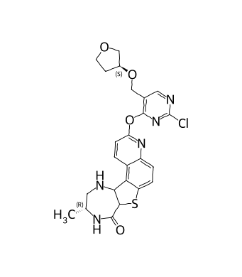 C[C@@H]1CNC2c3c(ccc4nc(Oc5nc(Cl)ncc5CO[C@H]5CCOC5)ccc34)SC2C(=O)N1